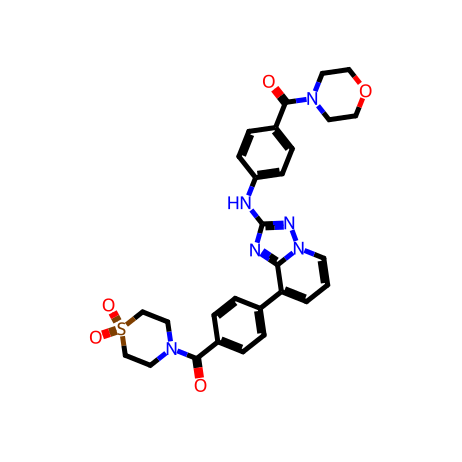 O=C(c1ccc(Nc2nc3c(-c4ccc(C(=O)N5CCS(=O)(=O)CC5)cc4)cccn3n2)cc1)N1CCOCC1